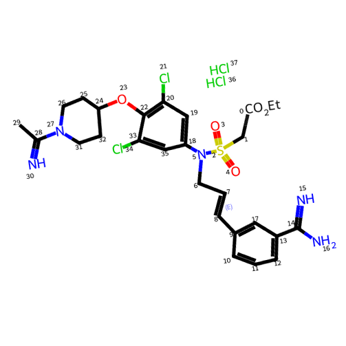 CCOC(=O)CS(=O)(=O)N(C/C=C/c1cccc(C(=N)N)c1)c1cc(Cl)c(OC2CCN(C(C)=N)CC2)c(Cl)c1.Cl.Cl